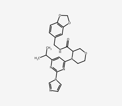 CC(C)c1cc(N2CCOCC2C(=O)NCc2ccc3c(c2)OCO3)nc(-n2ccnc2)n1